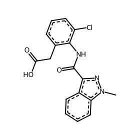 Cn1nc(C(=O)Nc2c(Cl)cccc2CC(=O)O)c2ccccc21